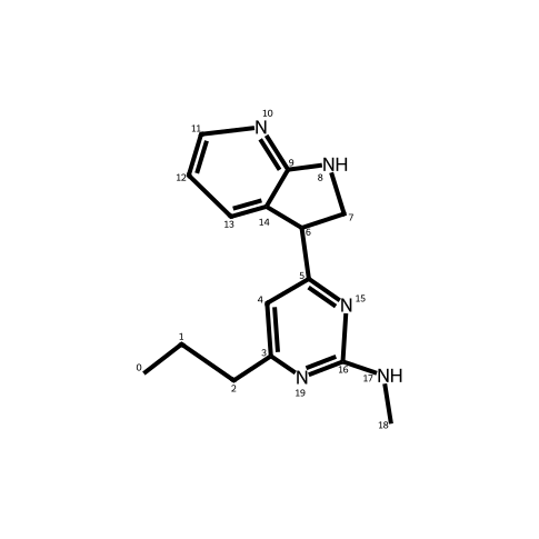 CCCc1cc(C2CNc3ncccc32)nc(NC)n1